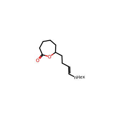 CCCCCCC=CCCC1CCCCC(=O)O1